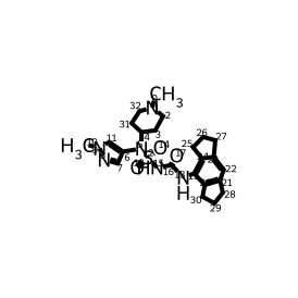 CN1CCC(N(c2cnn(C)c2)S(=O)(=O)NC(=O)Nc2c3c(cc4c2CCC4)CCC3)CC1